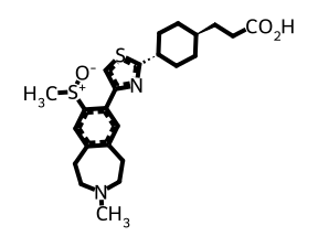 CN1CCc2cc(-c3csc([C@H]4CC[C@H](CCC(=O)O)CC4)n3)c([S+](C)[O-])cc2CC1